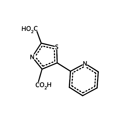 O=C(O)c1nc(C(=O)O)c(-c2ccccn2)s1